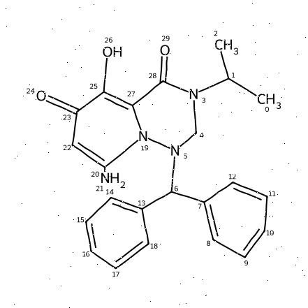 CC(C)N1CN(C(c2ccccc2)c2ccccc2)n2c(N)cc(=O)c(O)c2C1=O